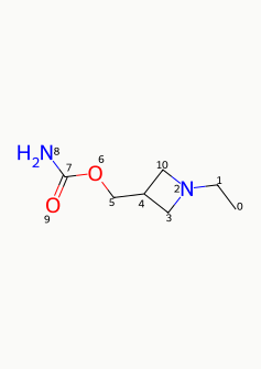 CCN1CC(COC(N)=O)C1